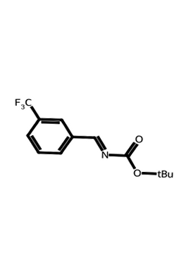 CC(C)(C)OC(=O)/N=C/c1cccc(C(F)(F)F)c1